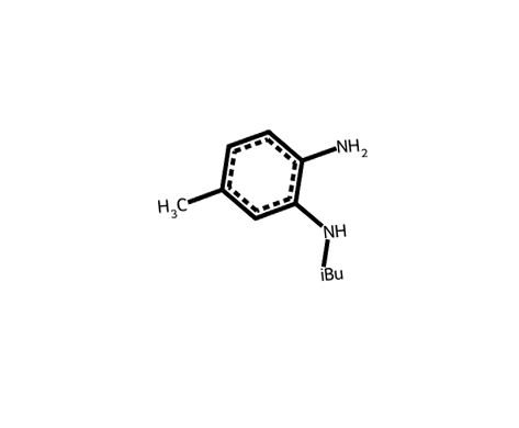 CCC(C)Nc1cc(C)ccc1N